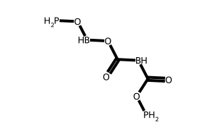 O=C(BC(=O)OBOP)OP